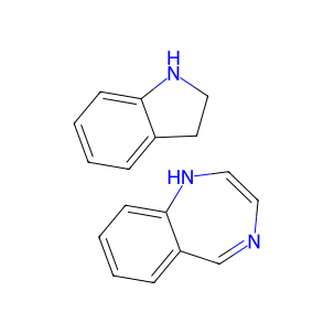 C1=CNc2ccccc2C=N1.c1ccc2c(c1)CCN2